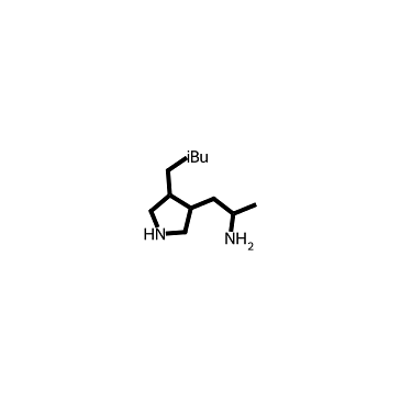 CCC(C)CC1CNCC1CC(C)N